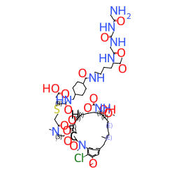 COc1cc2cc(c1Cl)N(C)C(=O)C[C@H](OC(=O)[C@H](C)N(C)C(=O)CCS[C@H](CC(=O)O)C(=O)NCC1CCC(C(=O)NCCCCC(NC(=O)CNC(=O)CNC(=O)CN)C(C)=O)CC1)[C@]1(C)O[C@H]1[C@H](C)C1C[C@@](O)(NC(=O)O1)[C@H](OC)/C=C/C=C(\C)C2